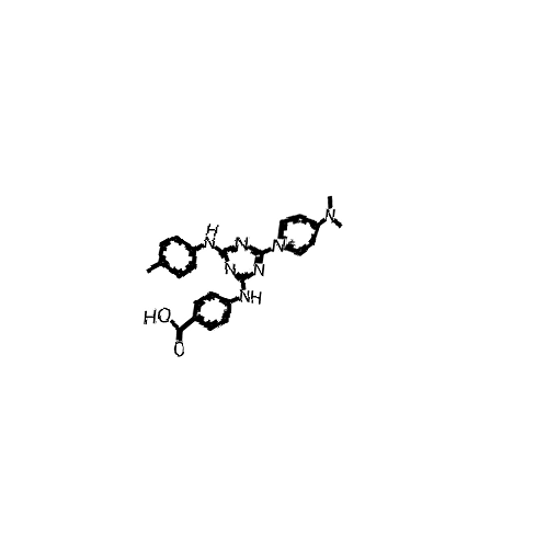 Cc1ccc(Nc2nc(Nc3ccc(C(=O)O)cc3)nc(-[n+]3ccc(N(C)C)cc3)n2)cc1